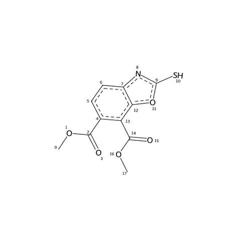 COC(=O)c1ccc2nc(S)oc2c1C(=O)OC